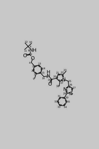 Cc1cc(COC(=O)NC(C)(C)C)ccc1CNC(=O)c1cc(C)n(Cc2csc(-c3ccccc3)n2)c1C